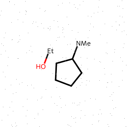 CCO.CNC1CCCC1